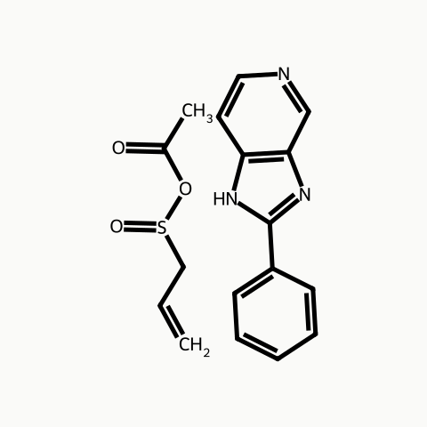 C=CCS(=O)OC(C)=O.c1ccc(-c2nc3cnccc3[nH]2)cc1